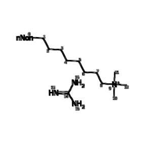 CCCCCCCCCCCCCCCCC[N+](C)(C)C.N=C(N)N